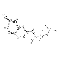 C=C(C)CC(C)(C)C(=O)Oc1ccc2ccc(=O)oc2c1